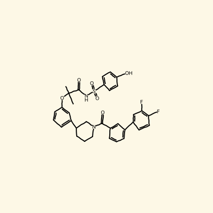 CC(C)(Oc1cccc(C2CCCN(C(=O)c3cccc(-c4ccc(F)c(F)c4)c3)C2)c1)C(=O)NS(=O)(=O)c1ccc(O)cc1